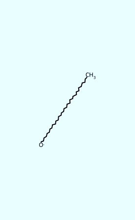 CCCCCCCCCCCCCCCCCCCCCCCCCCCCCCCCC[O]